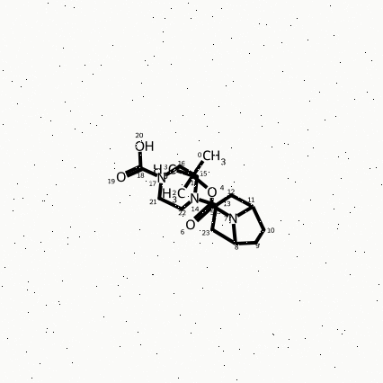 CC(C)(C)OC(=O)N1C2CCC1CC(N1CCN(C(=O)O)CC1)C2